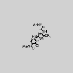 CNC(=O)c1ccc(Nc2ncc(C(F)(F)F)c(NCCNC(C)=O)n2)cc1Cl